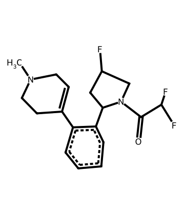 CN1CC=C(c2ccccc2C2CC(F)CN2C(=O)C(F)F)CC1